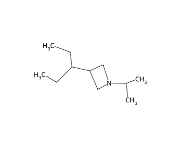 CCC(CC)C1CN(C(C)C)C1